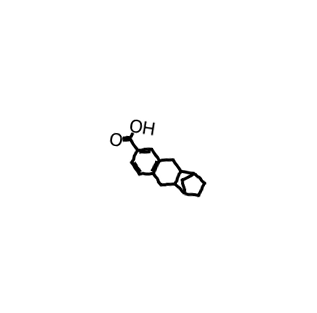 O=C(O)c1ccc2c(c1)CC1C3CCC(C3)C1C2